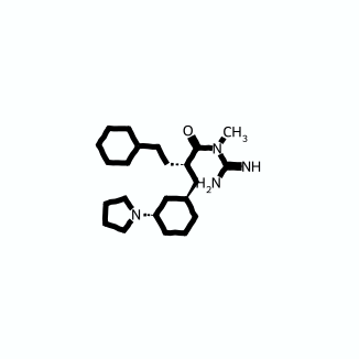 CN(C(=N)N)C(=O)[C@@H](CCC1CCCCC1)C[C@H]1CCC[C@H](N2CCCC2)C1